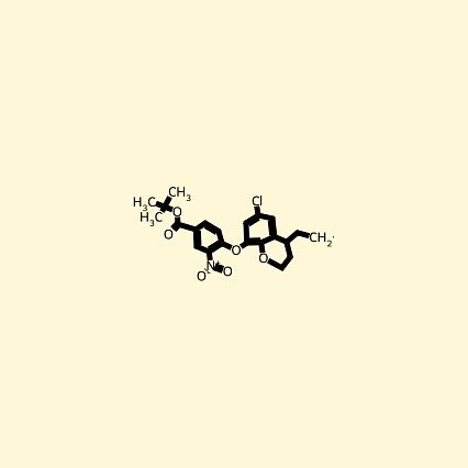 [CH2]CC1CCOc2c(Oc3ccc(C(=O)OC(C)(C)C)cc3[N+](=O)[O-])cc(Cl)cc21